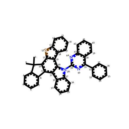 CC1(C)c2ccccc2-c2c1c1sc3ccccc3c1c1c2c2ccccc2n1-c1nc(-c2ccccc2)c2ccccc2n1